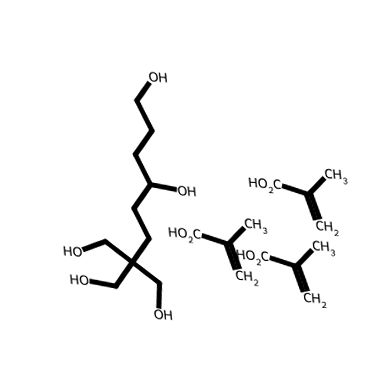 C=C(C)C(=O)O.C=C(C)C(=O)O.C=C(C)C(=O)O.OCCCC(O)CCC(CO)(CO)CO